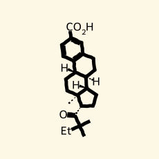 CCC(C)(C)C(=O)[C@H]1CC[C@H]2[C@@H]3CCc4cc(C(=O)O)ccc4[C@H]3CC[C@]12C